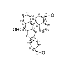 O=Cc1c2ccccc2cc2ccccc12.O=Cc1cccc2ccccc12.O=Cc1ccccc1